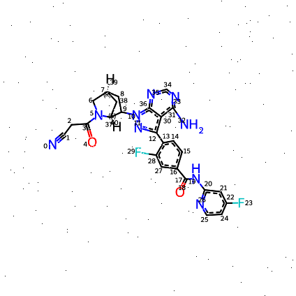 N#CCC(=O)N1C[C@H]2CC(n3nc(-c4ccc(C(=O)Nc5cc(F)ccn5)cc4F)c4c(N)ncnc43)[C@@H]1C2